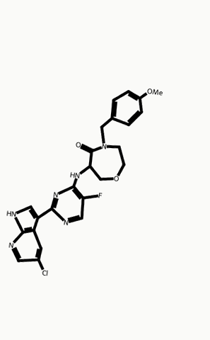 COc1ccc(CN2CCOCC(Nc3nc(-c4c[nH]c5ncc(Cl)cc45)ncc3F)C2=O)cc1